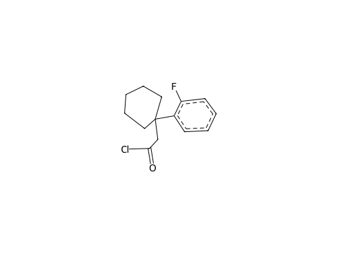 O=C(Cl)CC1(c2ccccc2F)CCCCC1